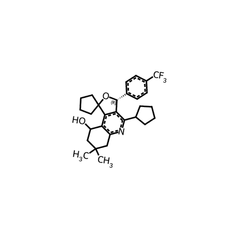 CC1(C)Cc2nc(C3CCCC3)c3c(c2C(O)C1)C1(CCCC1)O[C@@H]3c1ccc(C(F)(F)F)cc1